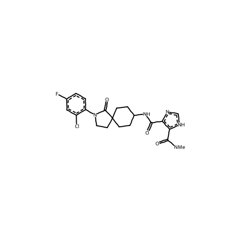 CNC(=O)c1[nH]cnc1C(=O)NC1CCC2(CC1)CCN(c1ccc(F)cc1Cl)C2=O